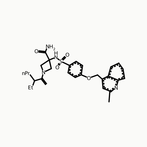 C=C(C(CC)CCC)N1CC(NS(=O)(=O)c2ccc(OCc3cc(C)nc4ccccc34)cc2)(C(N)=O)C1